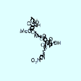 C=C1C[C@@H](CO)N(C(=O)c2cc(OC)c(OCCCCCOc3cc4c(cc3OC)C(=O)N3CC(=C)C[C@H]3C(=O)N4)cc2NC(=O)OCCSSc2ccc([N+](=O)[O-])cn2)C1